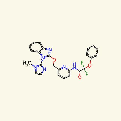 Cn1ccnc1-n1c(OCc2cccc(NC(=O)C(F)(F)Oc3ccccc3)n2)nc2ccccc21